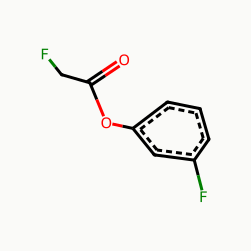 O=C(CF)Oc1cccc(F)c1